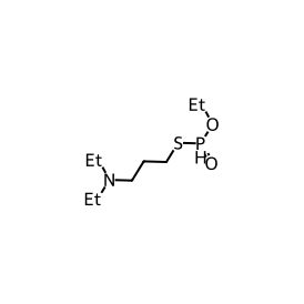 CCO[PH](=O)SCCCN(CC)CC